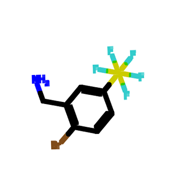 NCc1cc(S(F)(F)(F)(F)F)ccc1Br